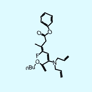 C=CCN(CC=C)/C(=C/C(F)=C(/C)CC(=O)Oc1ccccc1)C(=C)OCCCC